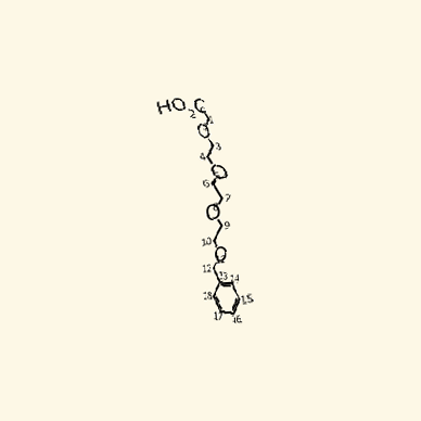 O=C(O)COCCOCCOCCOCc1ccccc1